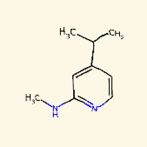 CNc1cc(C(C)C)ccn1